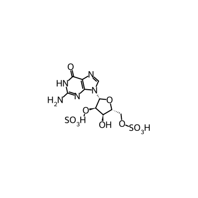 Nc1nc2c(ncn2[C@@H]2O[C@H](COS(=O)(=O)O)[C@@H](O)[C@H]2OS(=O)(=O)O)c(=O)[nH]1